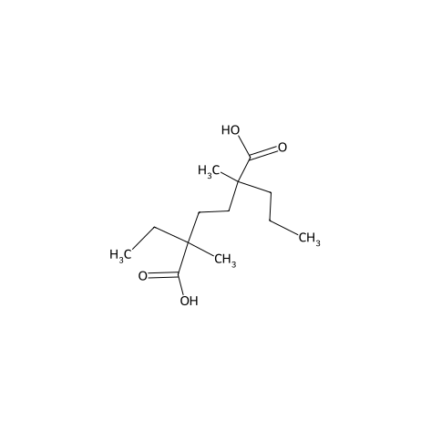 CCCC(C)(CCC(C)(CC)C(=O)O)C(=O)O